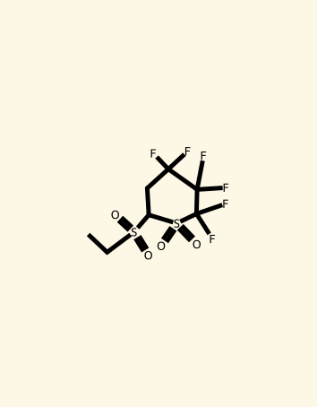 CCS(=O)(=O)C1CC(F)(F)C(F)(F)C(F)(F)S1(=O)=O